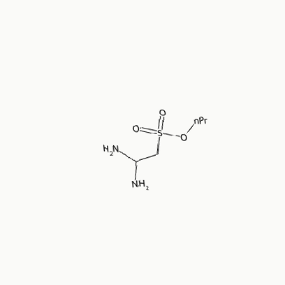 CCCOS(=O)(=O)CC(N)N